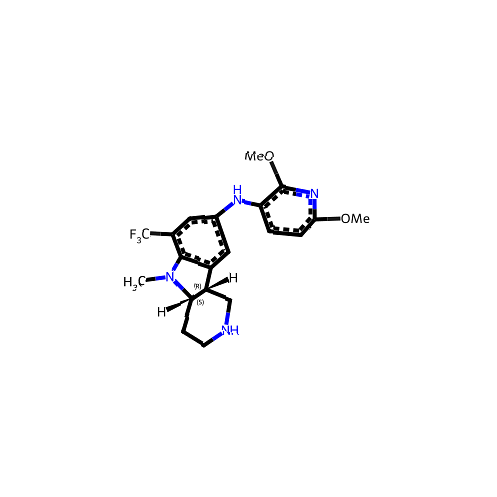 COc1ccc(Nc2cc3c(c(C(F)(F)F)c2)N(C)[C@H]2CCNC[C@@H]32)c(OC)n1